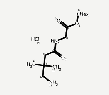 CCCCCCOC(=O)CNC(=O)CC(C)(C)CN.Cl